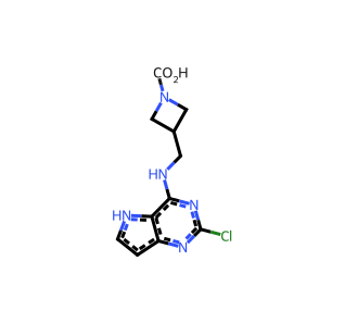 O=C(O)N1CC(CNc2nc(Cl)nc3cc[nH]c23)C1